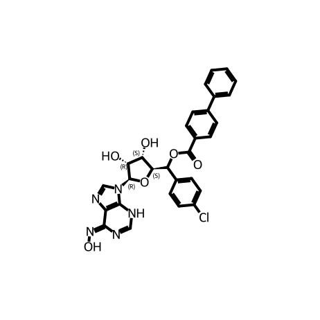 O=C(OC(c1ccc(Cl)cc1)[C@H]1O[C@@H](n2cnc3c(=NO)nc[nH]c32)[C@H](O)[C@@H]1O)c1ccc(-c2ccccc2)cc1